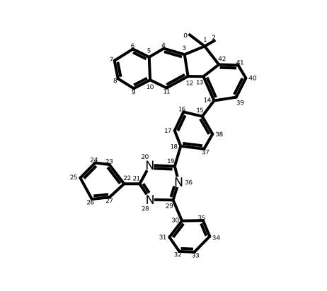 CC1(C)c2cc3ccccc3cc2-c2c(-c3ccc(-c4nc(-c5ccccc5)nc(-c5ccccc5)n4)cc3)cccc21